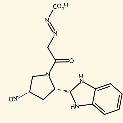 O=N[C@H]1C[C@@H](C2Nc3ccccc3N2)N(C(=O)CN=NC(=O)O)C1